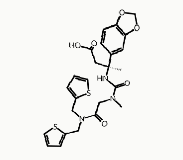 CN(CC(=O)N(Cc1cccs1)Cc1cccs1)C(=O)N[C@@](C)(CC(=O)O)c1ccc2c(c1)OCO2